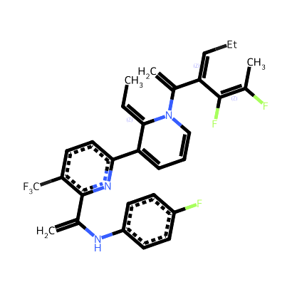 C=C(Nc1ccc(F)cc1)c1nc(C2=CC=CN(C(=C)C(=C/CC)/C(F)=C(\C)F)/C2=C\C)ccc1C(F)(F)F